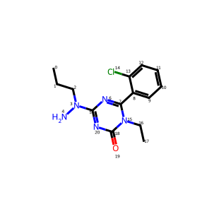 CCCN(N)c1nc(-c2ccccc2Cl)n(CC)c(=O)n1